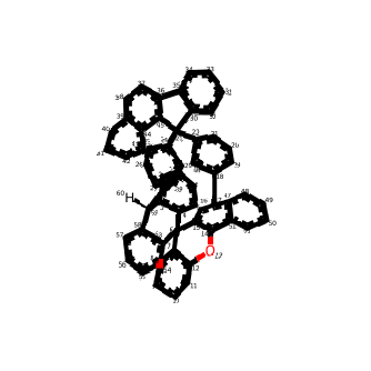 C1=C2C=C3C(=C1)C1(c4ccccc4Oc4c1cc(-c1cccc(C5(c6ccccc6)c6ccccc6-c6ccc7ccccc7c65)c1)c1ccccc41)c1ccccc1[C@H]23